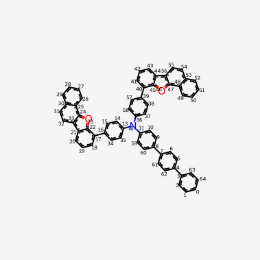 c1ccc(-c2ccc(-c3ccc(N(c4ccc(-c5cccc6c5oc5c7ccccc7ccc65)cc4)c4ccc(-c5cccc6c5oc5c7ccccc7ccc65)cc4)cc3)cc2)cc1